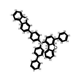 c1ccc(-c2ccc(N(c3ccc(-c4ccc5c(c4)sc4ccccc45)cc3)c3ccc(-c4ccccc4)c4oc5ccccc5c34)cc2)cc1